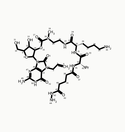 C=CCn1c(=O)n(C2OC(CO)C(O)C2OC(=O)N(C)CCNC(=O)[C@H](CCCCN)NC(=O)[C@@H](NC(=O)CCCC(=O)NN)C(C)C)c2nc(N)[nH]c(=O)c21